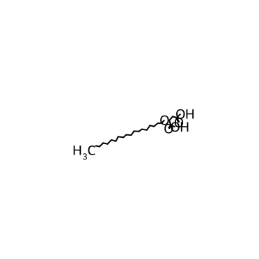 CCCCCCCCCCCCCCCCCCCOC(CC(=O)O)C(=O)O